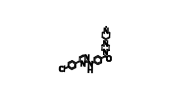 CN1CCC(N2CCN(C(=O)c3ccc(Nc4nccc(-c5ccc(Cl)cc5)n4)cc3)CC2)CC1